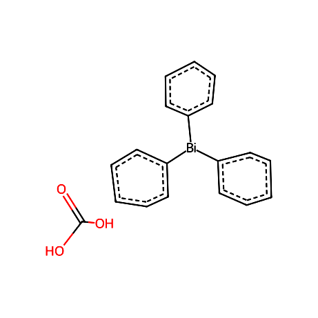 O=C(O)O.c1cc[c]([Bi]([c]2ccccc2)[c]2ccccc2)cc1